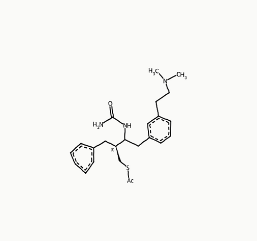 CC(=O)SC[C@@H](Cc1ccccc1)C(Cc1cccc(CCN(C)C)c1)NC(N)=O